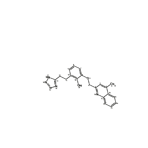 Cc1cc(COc2cccc(CCc3nnn[nH]3)c2O)nc2ccccc12